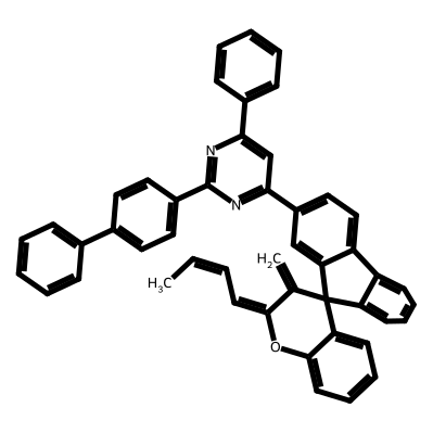 C=C1/C(=C\C=C/C)Oc2ccccc2C12c1ccccc1-c1ccc(-c3cc(-c4ccccc4)nc(-c4ccc(-c5ccccc5)cc4)n3)cc12